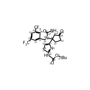 CC(C)(C)OC(=O)Nc1nc(C2(N(Cc3cc(C(F)(F)F)cc(C(F)(F)F)c3)C(N)=O)CCC(=O)C2)cs1